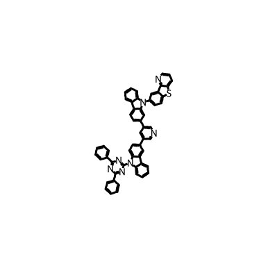 c1ccc(-c2nc(-c3ccccc3)nc(-n3c4ccccc4c4cc(-c5cncc(-c6ccc7c8ccccc8n(-c8ccc9sc%10cccnc%10c9c8)c7c6)c5)ccc43)n2)cc1